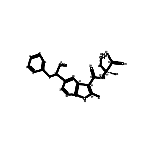 COC(Cc1ccccc1)c1ccc2oc(C)c(C(=O)N[C@@](C)(CO)C(N)=O)c2c1